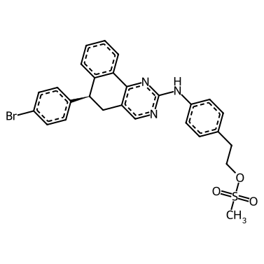 CS(=O)(=O)OCCc1ccc(Nc2ncc3c(n2)-c2ccccc2[C@H](c2ccc(Br)cc2)C3)cc1